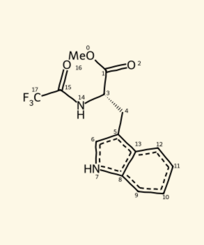 COC(=O)[C@H](Cc1c[nH]c2ccccc12)NC(=O)C(F)(F)F